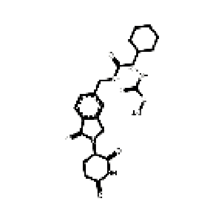 CC(C)(C)OC(=O)N[C@H](C(=O)NCc1ccc2c(c1)CN(C1CCC(=O)NC1=O)C2=O)C1CCCCC1